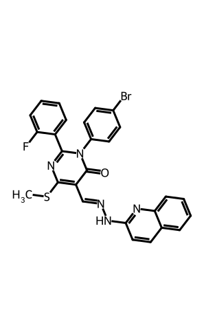 CSc1nc(-c2ccccc2F)n(-c2ccc(Br)cc2)c(=O)c1/C=N/Nc1ccc2ccccc2n1